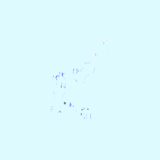 CC(C)(O)COc1ccc2ccc(-c3nnc4ccc([C@H](N5CC[C@](C)(N)C5)C(F)(F)F)cn34)nc2c1